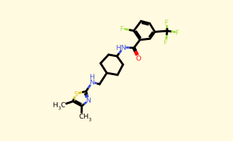 Cc1nc(NCC2CCC(NC(=O)c3cc(C(F)(F)F)ccc3F)CC2)sc1C